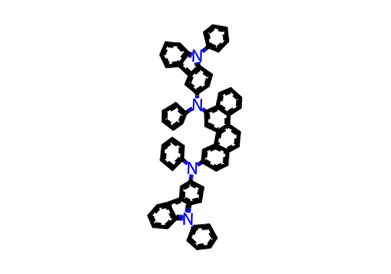 c1ccc(N(c2ccc3ccc4c5ccccc5c(N(c5ccccc5)c5ccc6c(c5)c5ccccc5n6-c5ccccc5)cc4c3c2)c2ccc3c(c2)c2ccccc2n3-c2ccccc2)cc1